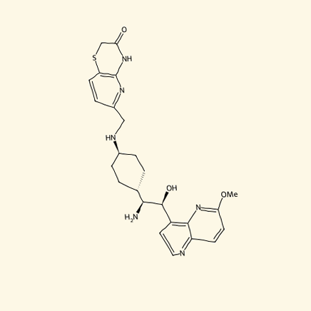 COc1ccc2nccc([C@H](O)[C@@H](N)[C@H]3CC[C@H](NCc4ccc5c(n4)NC(=O)CS5)CC3)c2n1